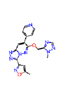 Cc1cc(-c2nnc3cc(-c4ccncc4)c(OCc4ncnn4C)nn23)no1